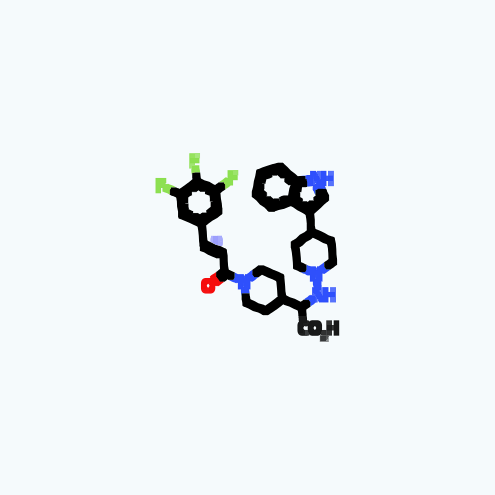 O=C(O)C(NN1CCC(c2c[nH]c3ccccc23)CC1)C1CCN(C(=O)/C=C/c2cc(F)c(F)c(F)c2)CC1